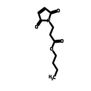 CCCCOC(=O)CCN1C(=O)C=CC1=O